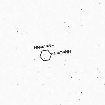 C1CCCCC1.N=C=N.N=C=N